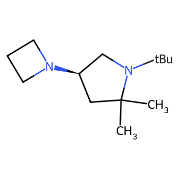 CC(C)(C)N1C[C@H](N2CCC2)CC1(C)C